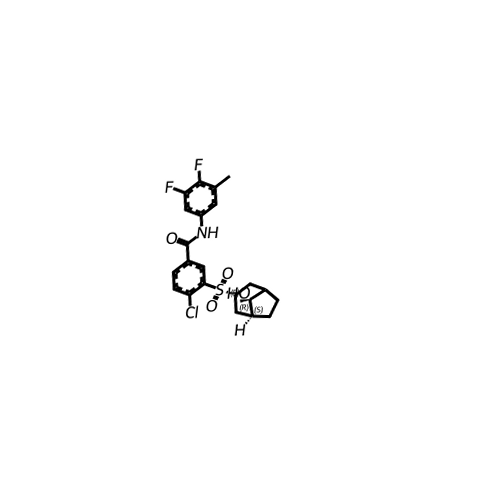 Cc1cc(NC(=O)c2ccc(Cl)c(S(=O)(=O)[C@@H]3CC4CC[C@@H](C3)[C@]4(C)O)c2)cc(F)c1F